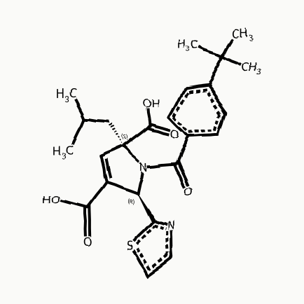 CC(C)C[C@@]1(C(=O)O)C=C(C(=O)O)[C@H](c2nccs2)N1C(=O)c1ccc(C(C)(C)C)cc1